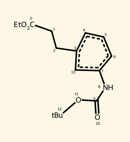 CCOC(=O)CCc1cccc(NC(=O)OC(C)(C)C)c1